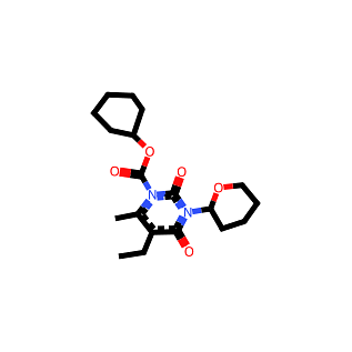 CCc1c(C)n(C(=O)OC2CCCCC2)c(=O)n(C2CCCCO2)c1=O